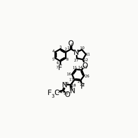 O=C(c1cccc(F)c1)N1CCC(Oc2ccc(-c3noc(C(F)(F)F)n3)c(F)c2)C1